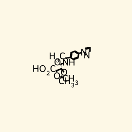 C[C@@H](NC(=O)[C@@H]1OC(C)(C)O[C@H]1C(=O)O)c1ccc(-n2cccn2)cc1